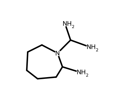 NC(N)N1CCCCCC1N